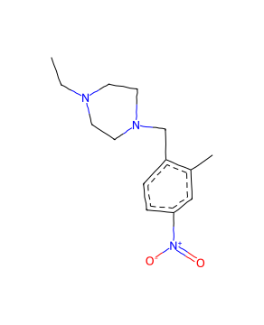 CCN1CCN(Cc2ccc([N+](=O)[O-])cc2C)CC1